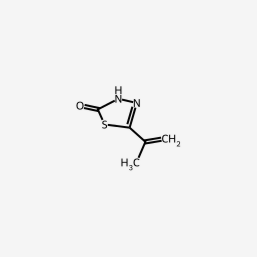 C=C(C)c1n[nH]c(=O)s1